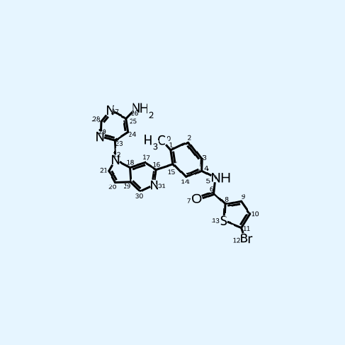 Cc1ccc(NC(=O)c2ccc(Br)s2)cc1-c1cc2c(ccn2-c2cc(N)ncn2)cn1